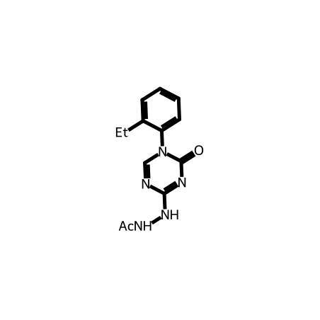 CCc1ccccc1-n1cnc(NNC(C)=O)nc1=O